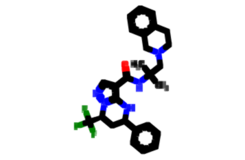 CC(C)(CN1CCc2ccccc2C1)NC(=O)c1cnn2c1NC(c1ccccc1)C[C@H]2C(F)(F)F